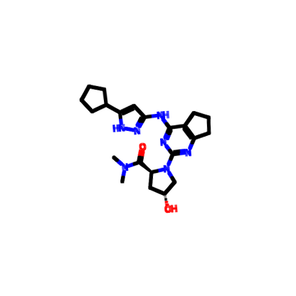 CN(C)C(=O)[C@@H]1C[C@@H](O)CN1c1nc2c(c(Nc3cc(C4CCCC4)[nH]n3)n1)CCC2